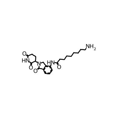 NCCCCCCCCC(=O)Nc1cccc2c1CN(C1CCC(=O)NC1=O)C2=O